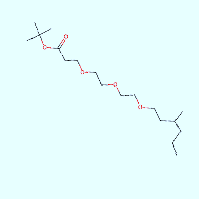 CCCC(C)CCOCCOCCOCCC(=O)OC(C)(C)C